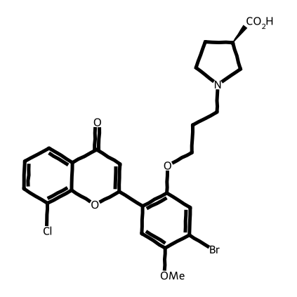 COc1cc(-c2cc(=O)c3cccc(Cl)c3o2)c(OCCCN2CC[C@@H](C(=O)O)C2)cc1Br